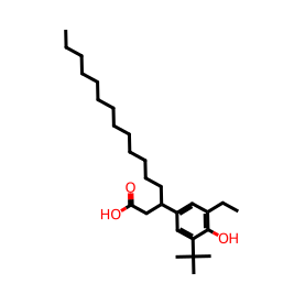 CCCCCCCCCCCCCC(CC(=O)O)c1cc(CC)c(O)c(C(C)(C)C)c1